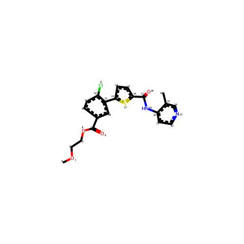 COCCOC(=O)c1ccc(Cl)c(-c2ccc(C(=O)Nc3ccncc3C)s2)c1